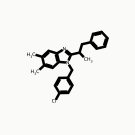 Cc1cc2nc(C(C)Cc3ccccc3)n(Cc3ccc(Cl)cc3)c2cc1C